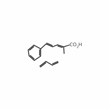 C=CC=C.CC(=CC=Cc1ccccc1)C(=O)O